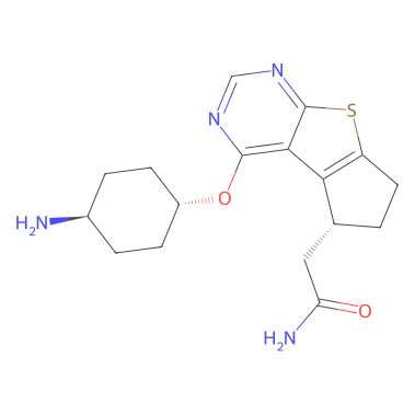 NC(=O)C[C@H]1CCc2sc3ncnc(O[C@H]4CC[C@H](N)CC4)c3c21